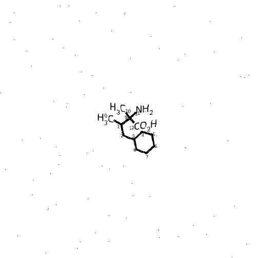 CC(CC1CCCCC1)C(C)(N)C(=O)O